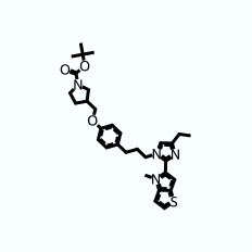 CCc1cn(CCCc2ccc(OCC3CCN(C(=O)OC(C)(C)C)C3)cc2)c(-c2cc3sccc3n2C)n1